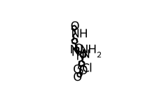 Nc1ncc(-c2ccc(S(=O)(=O)C3CCOC3)c(Cl)c2)nc1-c1nnc(-c2ccc(CNC3CCOC3)cc2)o1